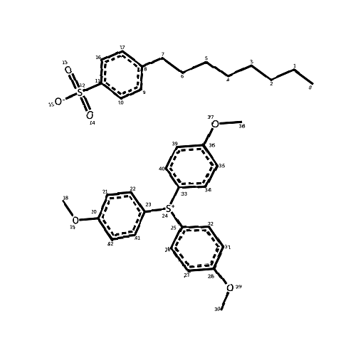 CCCCCCCCc1ccc(S(=O)(=O)[O-])cc1.COc1ccc([S+](c2ccc(OC)cc2)c2ccc(OC)cc2)cc1